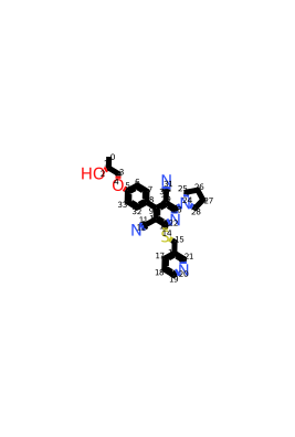 CC(O)COc1ccc(-c2c(C#N)c(SCc3cccnc3)nc(N3CCCC3)c2C#N)cc1